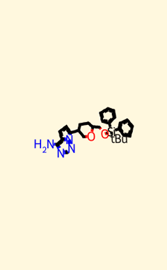 CC(C)(C)[Si](OCC1CCC(c2ccc3c(N)ncnn23)CO1)(c1ccccc1)c1ccccc1